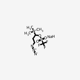 C[N+](C)(C)C(CCN=[N+]=[N-])OS(=O)(=O)C(F)(F)F.[NaH]